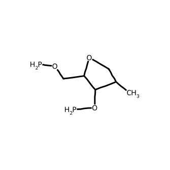 CC1COC(COP)C1OP